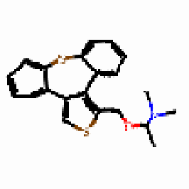 CC(OCc1scc2c1-c1ccccc1Sc1ccccc1-2)N(C)C